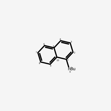 CCCCc1cccc2ccccc12